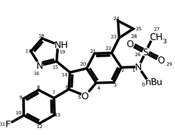 CCCCN(c1cc2oc(-c3ccc(F)cc3)c(-c3ncc[nH]3)c2cc1C1CC1)S(C)(=O)=O